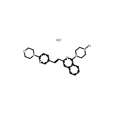 CCN1CCN(c2nc(/C=C/c3ccc(N4CCOCC4)nc3)cc3ccccc23)CC1.Cl